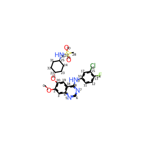 COc1cc2ncnc(Nc3ccc(F)c(Cl)c3)c2cc1O[C@H]1CC[C@H](NS(C)(=O)=O)CC1